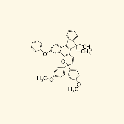 CCC1(CC)c2ccccc2-c2c1c1c(c3cc(Oc4ccccc4)ccc23)OC(c2ccc(OC)cc2)(c2ccc(OC)cc2)C=C1